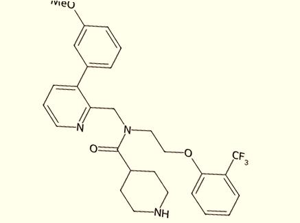 COc1cccc(-c2cccnc2CN(CCOc2ccccc2C(F)(F)F)C(=O)C2CCNCC2)c1